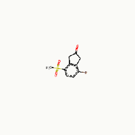 CS(=O)(=O)c1ccc(Br)c2c1CC(=O)C2